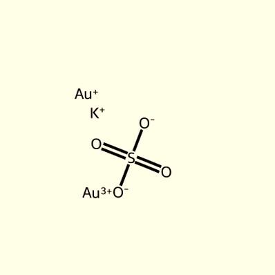 O=S(=O)([O-])[O-].[Au+3].[Au+].[K+]